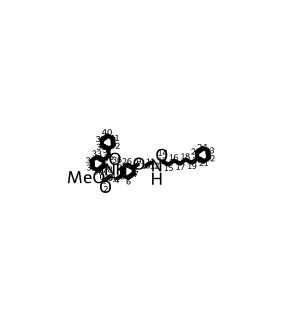 COC(=O)[C@H](Cc1ccc(OCCNC(=O)CCCCCc2ccccc2)cc1)Nc1ccccc1C(=O)c1ccccc1